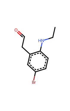 CCNc1ccc(Br)cc1CC=O